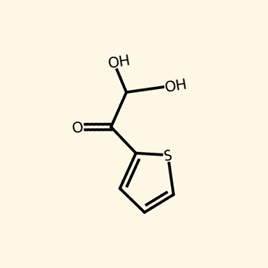 O=C(c1cccs1)C(O)O